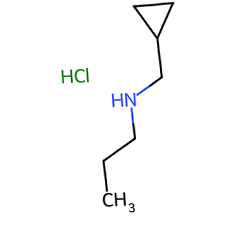 CCCNCC1CC1.Cl